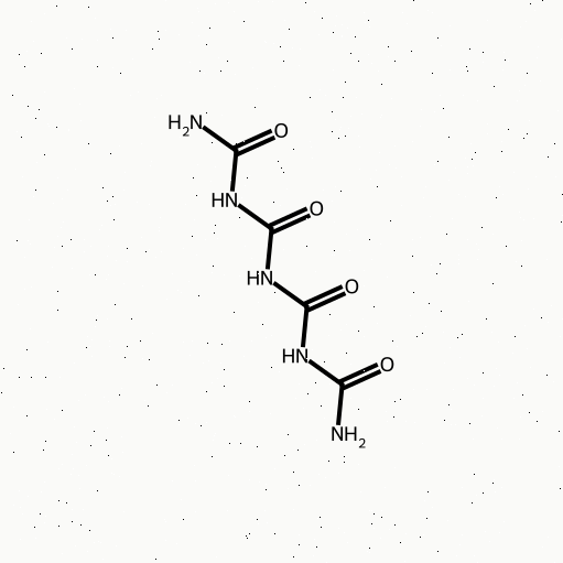 NC(=O)NC(=O)NC(=O)NC(N)=O